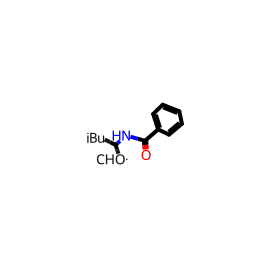 CCC(C)C([C]=O)NC(=O)c1ccccc1